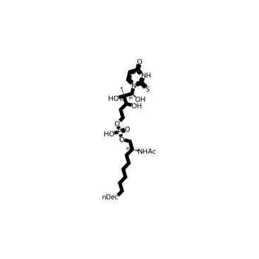 CCCCCCCCCCCCCCCC[C@H](COP(=O)(O)OCCC(O)[C@@](C)(O)[C@@H](O)n1ccc(=O)[nH]c1=S)NC(C)=O